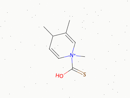 CC1=C[N+](C)(C(O)=S)C=CC1C